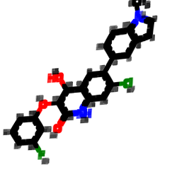 Cn1ccc2cc(-c3cc4c(O)c(Oc5cccc(F)c5)c(=O)[nH]c4cc3Cl)ccc21